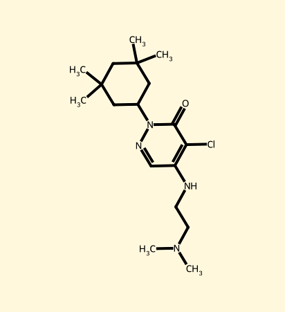 CN(C)CCNc1cnn(C2CC(C)(C)CC(C)(C)C2)c(=O)c1Cl